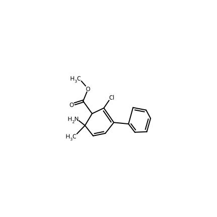 COC(=O)C1C(Cl)=C(c2ccccc2)C=CC1(C)N